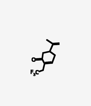 C=C(C)C1CC=C(CC(F)(F)F)C(=O)C1